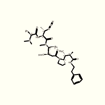 CC[C@H](C)[C@@H]([C@@H](CC(=O)N1CCC[C@H]1[C@H](OC)[C@@H](C)C(=O)NCCc1ccccc1)OC)N(C)C(=O)[C@@H](NC(=O)[C@H](C(C)C)N(C)C)[C@H](C)N=[N+]=[N-]